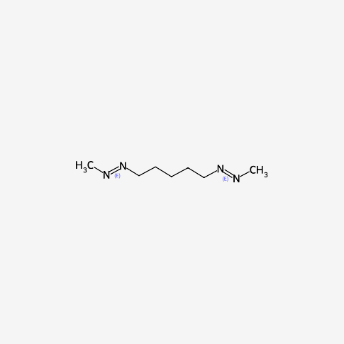 C/N=N/CCCCC/N=N/C